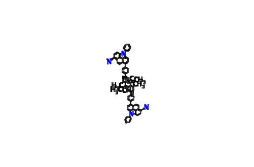 CC(C)(C)c1c2ccc(-c3ccc(-c4ccc5c6c4ccc4c(C#N)ccc(c46)n5-c4ccccc4)cc3)cc2c(C(C)(C)C)c2ccc(-c3ccc(-c4ccc5c6c4ccc4c(C#N)ccc(c46)n5-c4ccccc4)cc3)cc12